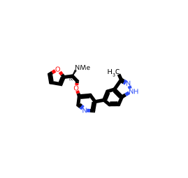 CN[C@@H](COc1cncc(-c2ccc3[nH]nc(C)c3c2)c1)c1ccco1